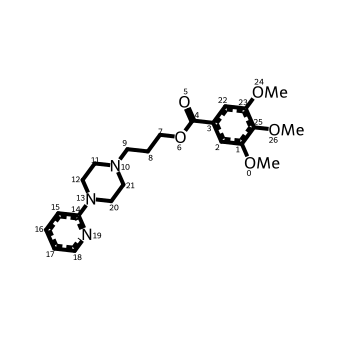 COc1cc(C(=O)OCCCN2CCN(c3ccccn3)CC2)cc(OC)c1OC